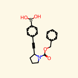 O=C(OCc1ccccc1)N1CCCC1C#Cc1ccc(B(O)O)cc1